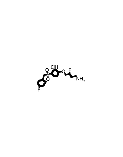 Cl.NCC=C(F)COc1ccc(S(=O)(=O)Cc2ccc(F)cc2)cc1